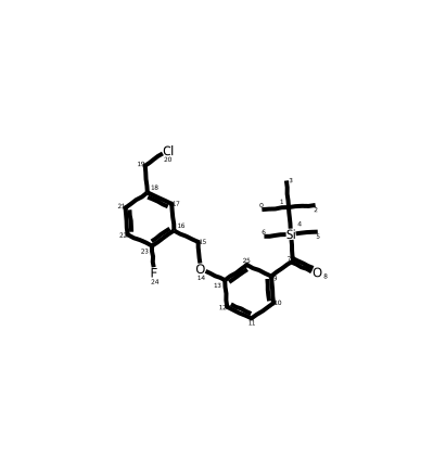 CC(C)(C)[Si](C)(C)C(=O)c1cccc(OCc2cc(CCl)ccc2F)c1